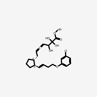 CCCOC(=O)C(O)(O)C(O)C=C=CC[C@H]1CCC[C@@H]1/C=C/CCOc1cccc(Cl)c1